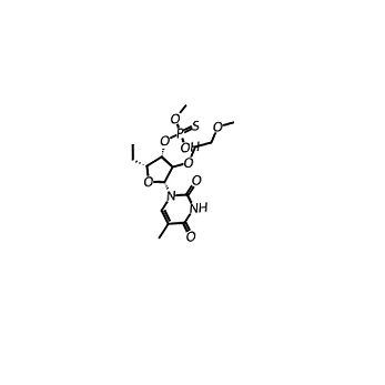 CC[C@H]1O[C@@H](n2cc(C)c(=O)[nH]c2=O)C(OCCOC)[C@H]1OP(O)(=S)OC